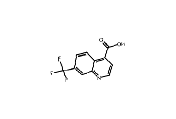 O=C(O)c1ccnc2cc(C(F)(F)F)ccc12